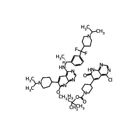 CC(C)(C)OC(=O)N1CCC(c2cc3c(Cl)ncnc3[nH]c2=O)CC1.COc1nc2ncnc(N[C@H](C)c3cccc(C(F)(F)C4CCN(C(C)C)CC4)c3)c2cc1C1CCN(C(C)C)CC1